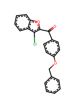 O=C(c1ccc(OCc2ccccc2)cc1)c1oc2ccccc2c1Cl